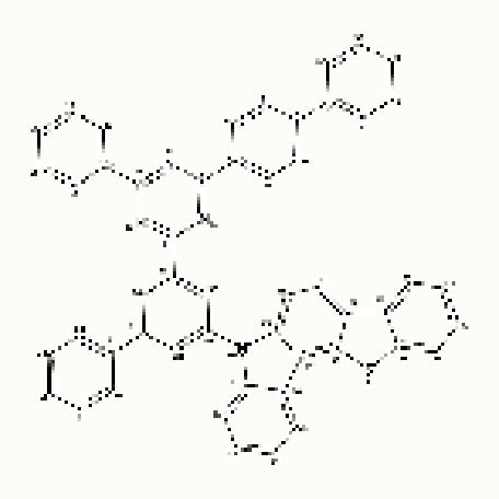 c1ccc(-c2ccc(-c3nc(-c4ccccc4)nc(-c4cc(-c5ccccc5)cc(-n5c6ccccc6c6c7sc8ccccc8c7ccc65)c4)n3)cc2)cc1